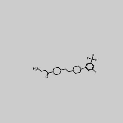 NCCC(=O)N1CCC(CCN2CCN(c3cc(F)cc(C(F)(F)F)c3)CC2)CC1